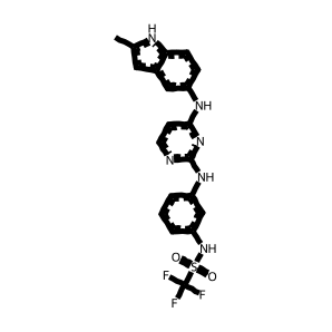 Cc1cc2cc(Nc3ccnc(Nc4cccc(NS(=O)(=O)C(F)(F)F)c4)n3)ccc2[nH]1